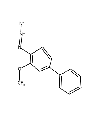 [N-]=[N+]=Nc1ccc(-c2ccccc2)cc1OC(F)(F)F